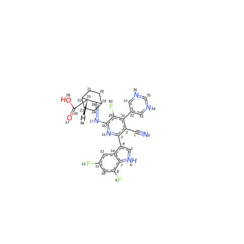 N#Cc1c(-c2c[nH]c3c(F)cc(F)cc23)nc(/N=C2\C3CCC(CC3)[C@H]2C(=O)O)c(F)c1-c1cncnc1